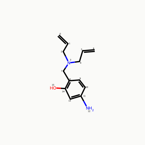 C=CCN(CC=C)Cc1ccc(N)cc1O